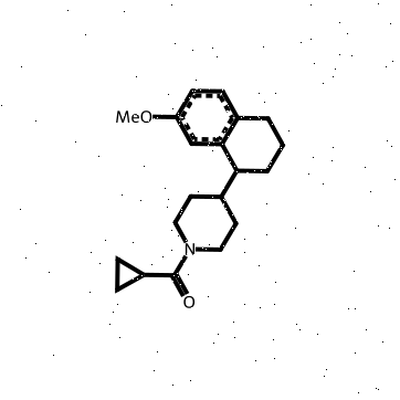 COc1ccc2c(c1)C(C1CCN(C(=O)C3CC3)CC1)CCC2